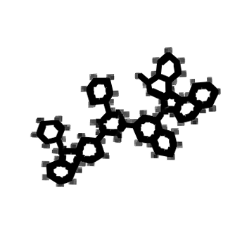 CC1C=c2c(c3c4ccccc4ccc3n2-c2cc(-c3nc(-c4ccccc4)nc(-c4ccc5c6ccccc6n(C6C=CC=CC6)c5c4)n3)cc3ccccc23)=C2C=CC=CC21